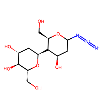 [N-]=[N+]=NC1C[C@@H](O)C([C@@H]2C[C@@H](O)[C@H](O)[C@@H](CO)O2)[C@@H](CO)O1